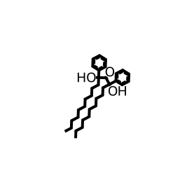 CCCCCCCCCCC(O)(C(=O)C(O)(CCCCCCCCCC)c1ccccc1)c1ccccc1